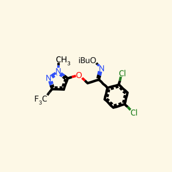 CC(C)CO/N=C(\COc1cc(C(F)(F)F)nn1C)c1ccc(Cl)cc1Cl